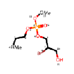 CNCCOP(=O)(OCC(Br)CO)OOC